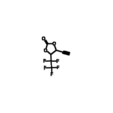 C#CC1OC(=O)OC1C(F)(F)C(F)(F)F